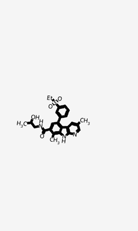 CCS(=O)(=O)c1cccc(-c2cc(C(=O)NCC(C)O)c(C)c3[nH]c4ncc(C)cc4c23)c1